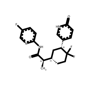 C[C@@H](C(=O)Nc1ccc(F)cn1)[C@H]1CCC(F)(F)[C@@H](c2ccc(=O)[nH]c2)C1